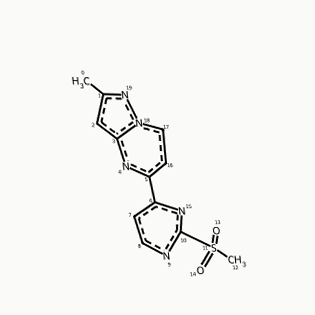 Cc1cc2nc(-c3ccnc(S(C)(=O)=O)n3)ccn2n1